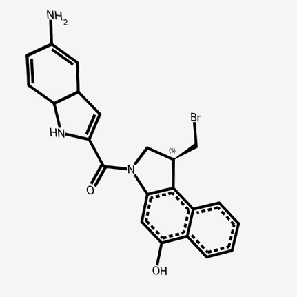 NC1=CC2C=C(C(=O)N3C[C@@H](CBr)c4c3cc(O)c3ccccc43)NC2C=C1